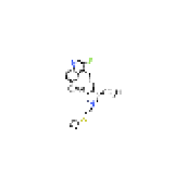 COc1ccc2ncc(F)c(CCCC3CCN(CCSC4CCC4)CC3C(=O)O)c2c1